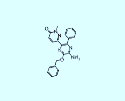 Cn1nc(-c2nc(OCc3ccccc3)c(N)nc2-c2ccccc2)ccc1=O